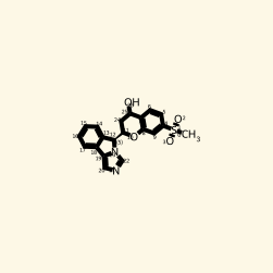 CS(=O)(=O)c1ccc2c(c1)OC([C@@H]1c3ccccc3-c3cncn31)CC2O